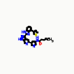 CCCCC(=O)Nc1cncc(-c2cc3c(-c4nc5c(-c6ccsc6)cccc5[nH]4)n[nH]c3cn2)c1